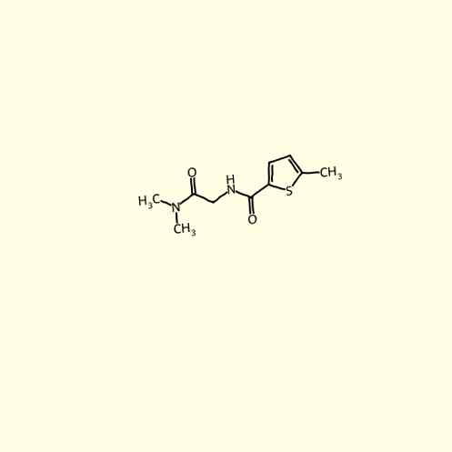 Cc1ccc(C(=O)NCC(=O)N(C)C)s1